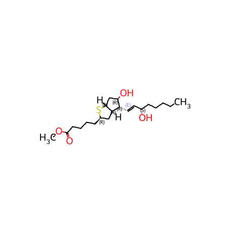 CCCCC[C@H](O)/C=C/[C@@H]1[C@H]2C[C@@H](CCCCC(=O)OC)S[C@@H]2C[C@H]1O